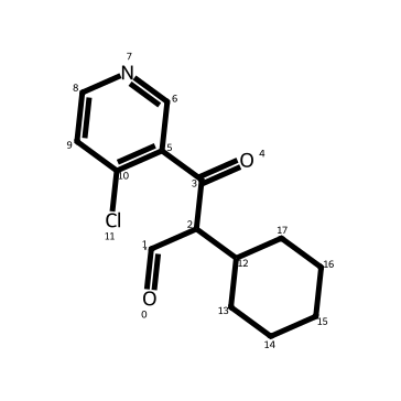 O=[C]C(C(=O)c1cnccc1Cl)C1CCCCC1